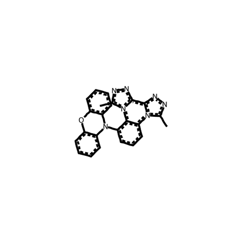 Cc1nnc2c3nnc(C)n3c3c(N4c5ccccc5Oc5ccccc54)cccc3n12